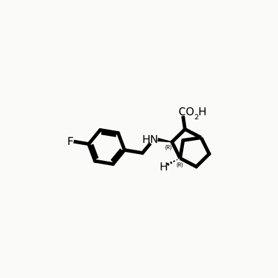 O=C(O)C1C2CC[C@H](C2)[C@H]1NCc1ccc(F)cc1